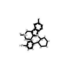 Cc1ccc2c(c1)c1c(n2C2CCCCC2c2ccc(F)cc2)CCN(C)C1